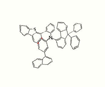 c1ccc(C2(c3ccccc3)c3ccccc3-c3c(N(c4cccc(-c5cccc6ccccc56)c4)c4ccccc4-c4cccc5c4sc4ccccc45)cccc32)cc1